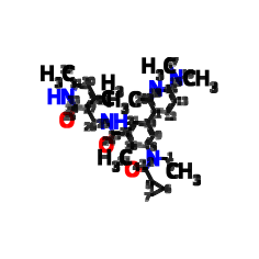 CCN(C(=O)C1CC1)c1cc(-c2ccc(N(C)C)nc2C)cc(C(=O)NCc2c(C)cc(C)[nH]c2=O)c1C